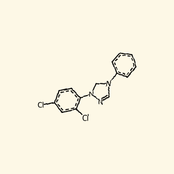 Clc1ccc(N2CN(c3ccccc3)C=N2)c(Cl)c1